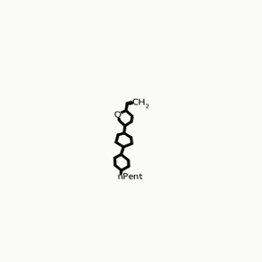 C=CC1CCC(C2CCC(C3CCC(CCCCC)CC3)CC2)CO1